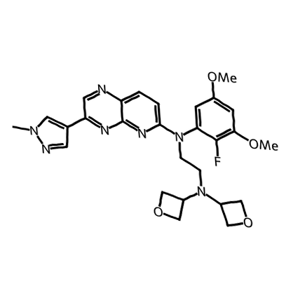 COc1cc(OC)c(F)c(N(CCN(C2COC2)C2COC2)c2ccc3ncc(-c4cnn(C)c4)nc3n2)c1